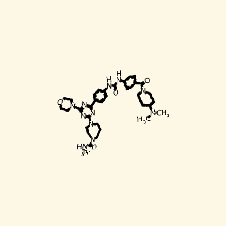 CC(C)NC(=O)N1CCCN(c2nc(-c3ccc(NC(=O)Nc4ccc(C(=O)N5CCC(N(C)C)CC5)cc4)cc3)nc(N3CCOCC3)n2)CC1